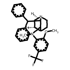 COc1ccc(C(F)(F)F)cc1N(C)[C@@H]1C2CCN(CC2)[C@@H]1C(c1ccccc1)c1ccccc1